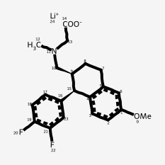 COc1ccc2c(c1)CC[C@H](CN(C)CC(=O)[O-])[C@@H]2c1ccc(F)c(F)c1.[Li+]